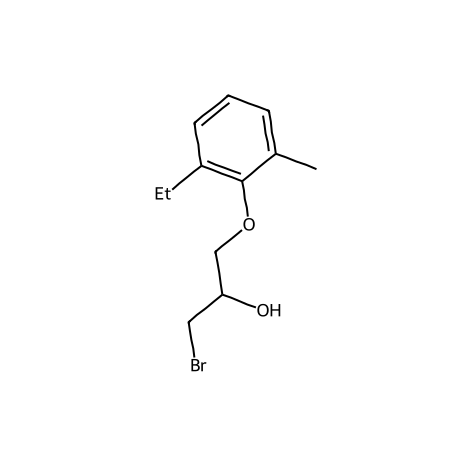 CCc1cccc(C)c1OCC(O)CBr